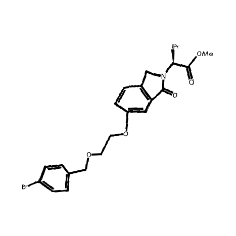 COC(=O)[C@H](C(C)C)N1Cc2ccc(OCCOCc3ccc(Br)cc3)cc2C1=O